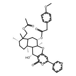 COc1ccc(CC(=O)O[C@H]2CC3C(C)(COC(C)=O)[C@@H](C)CC[C@]3(C)C3[C@@H](O)c4c(cc(-c5cccnc5)oc4=O)O[C@@]32C)cc1